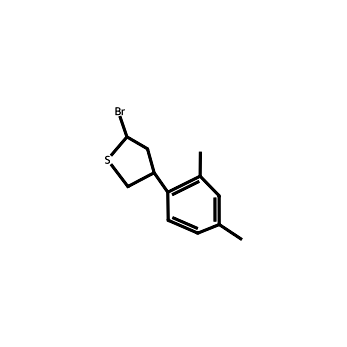 Cc1ccc(C2CSC(Br)C2)c(C)c1